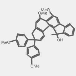 COc1ccc(C2(c3ccc(OC)cc3)C=Cc3c(cc(OC)c4c(OC)cc5c(c34)C(C)(O)c3ccccc3-5)C2)cc1